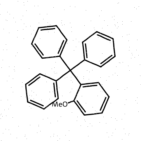 COc1ccccc1C(c1ccccc1)(c1ccccc1)c1ccccc1